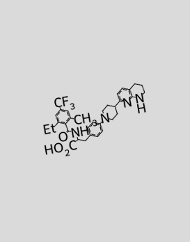 CCc1cc(C(F)(F)F)cc(C)c1C(=O)NC(Cc1ccc(N2CCC(c3ccc4c(n3)NCCC4)CC2)cc1)C(=O)O